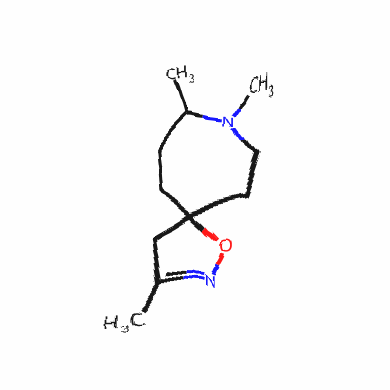 CC1=NOC2(CCC(C)N(C)CC2)C1